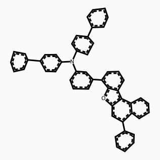 c1ccc(-c2ccc(N(c3ccc(-c4ccccc4)cc3)c3cccc(-c4cccc5c4oc4cc(-c6ccccc6)c6ccccc6c45)c3)cc2)cc1